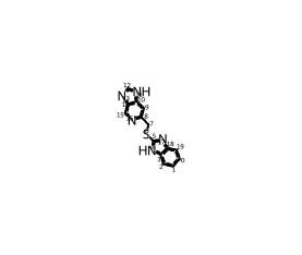 c1ccc2[nH]c(SCc3cc4[nH]cnc4cn3)nc2c1